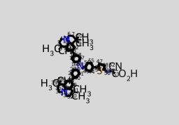 CC1(C)CCN2CCC(C)(C)c3cc(-c4ccc(N(c5ccc(-c6cc7c8c(c6)C(C)(C)CCN8CCC7(C)C)cc5)c5ccc(-c6ccc(/C=C(\C#N)C(=O)O)s6)cc5)cc4)cc1c32